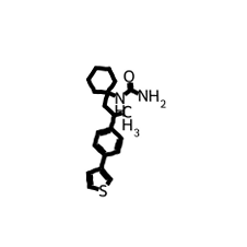 CC(CC1(NC(N)=O)CCCCC1)c1ccc(-c2ccsc2)cc1